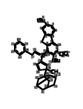 CC(C)(C)c1ccc2c(c1)Cc1c-2ccc(C(C)(C)C)[c]1[Zr+2](=[CH]Cc1ccccc1)[C]1=CC(C)(C23CC4CC(CC(C4)C2)C3)C=C1.[Cl-].[Cl-]